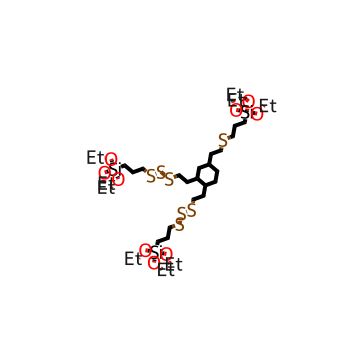 CCO[Si](CCCSCCC1CCC(CCSSSCCC[Si](OCC)(OCC)OCC)C(CCSSSCCC[Si](OCC)(OCC)OCC)C1)(OCC)OCC